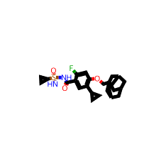 N=S(=O)(NC(=O)c1cc(C2CC2)c(OCC23CC4CC(CC(C4)C2)C3)cc1F)C1CC1